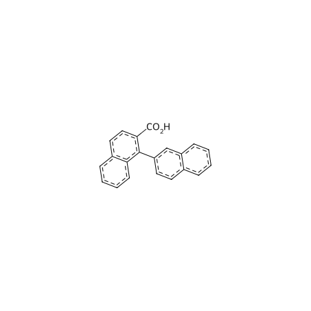 O=C(O)c1ccc2ccccc2c1-c1ccc2ccccc2c1